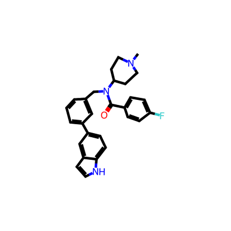 CN1CCC(N(Cc2cccc(-c3ccc4[nH]ccc4c3)c2)C(=O)c2ccc(F)cc2)CC1